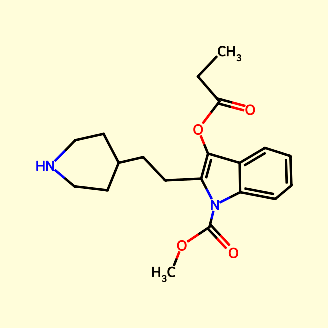 CCC(=O)Oc1c(CCC2CCNCC2)n(C(=O)OC)c2ccccc12